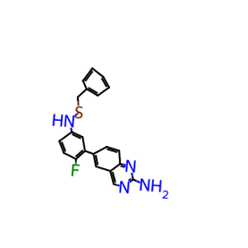 Nc1ncc2cc(-c3cc(NSCc4ccccc4)ccc3F)ccc2n1